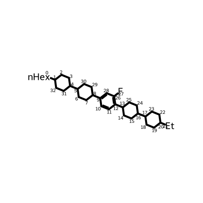 CCCCCCC1CCC(C2CCC(c3ccc(C4CCC(C5CCC(CC)CC5)CC4)c(F)c3)CC2)CC1